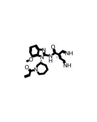 C=CC(=O)N1CCCC[C@@H](n2c(NC(=O)/C(C=N)=C/C=N)nc3cccc(OC)c32)C1